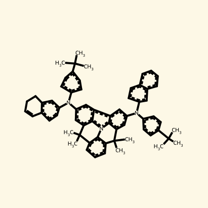 CC(C)(C)c1ccc(N(c2ccc3c(c2)CCC=C3)c2cc3c4c(c2)c2cc(N(c5ccc(C(C)(C)C)cc5)c5ccc6ccccc6c5)cc5c2n4-c2c(cccc2C5(C)C)C3(C)C)cc1